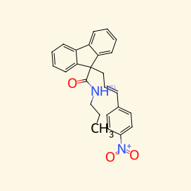 CCCNC(=O)C1(C/C=C/c2ccc([N+](=O)[O-])cc2)c2ccccc2-c2ccccc21